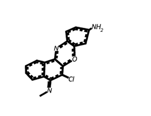 C/N=c1/c(Cl)c2oc3cc(N)ccc3nc-2c2ccccc12